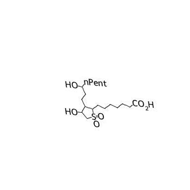 CCCCCC(O)CCC1C(O)CS(=O)(=O)C1CCCCCCC(=O)O